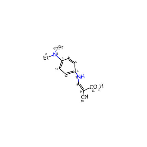 CCCN(CC)c1ccc(NC=C(C#N)C(=O)O)cc1